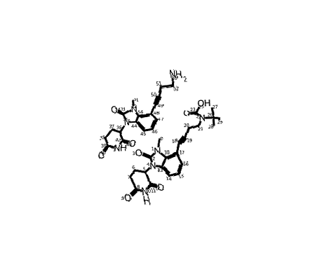 Cn1c(=O)n(C2CCC(=O)NC2=O)c2cccc(C#CCCN(C(=O)O)C(C)(C)C)c21.Cn1c(=O)n(C2CCC(=O)NC2=O)c2cccc(C#CCCN)c21